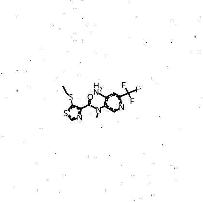 CCSc1scnc1C(=O)N(C)c1cnc(C(F)(F)F)cc1N